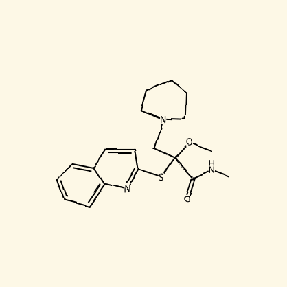 CNC(=O)C(CN1CCCCC1)(OC)Sc1ccc2ccccc2n1